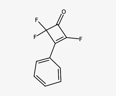 O=C1C(F)=C(c2ccccc2)C1(F)F